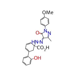 COc1ccc(N2N=C(C)C(=NNC3(C(=O)O)C=CC=C(c4ccccc4O)C3)C2=O)cc1